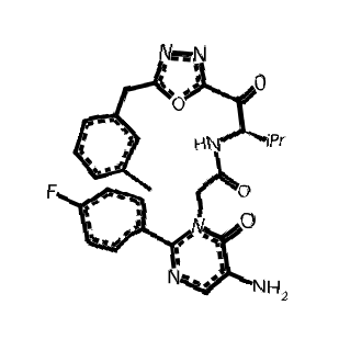 Cc1cccc(Cc2nnc(C(=O)[C@H](NC(=O)Cn3c(-c4ccc(F)cc4)ncc(N)c3=O)C(C)C)o2)c1